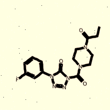 CCC(=O)N1CCN(C(=O)n2nnn(-c3cccc(F)c3)c2=O)CC1